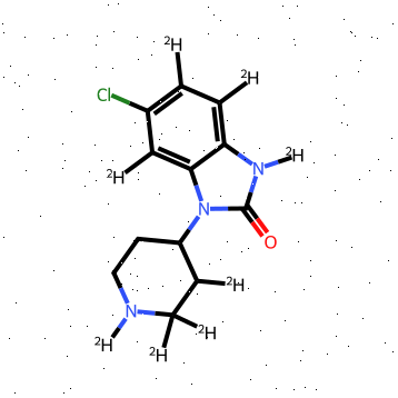 [2H]c1c(Cl)c([2H])c2c(c1[2H])n([2H])c(=O)n2C1CCN([2H])C([2H])([2H])C1[2H]